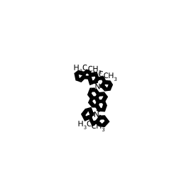 CC1(C)c2ccccc2-c2cc3c(cc21)C(C)(C)c1ccccc1N3c1ccc2ccc3c(N4c5ccccc5C(C)(C)c5ccccc54)ccc4ccc1c2c43